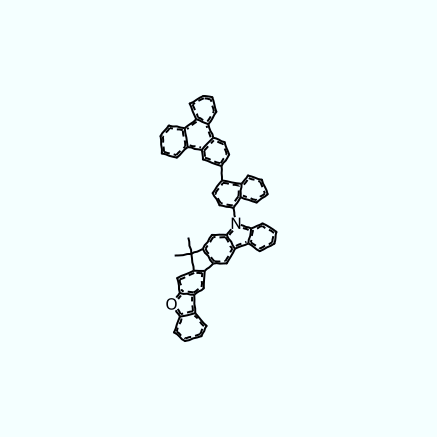 CC1(C)c2cc3oc4ccccc4c3cc2-c2cc3c4ccccc4n(-c4ccc(-c5ccc6c7ccccc7c7ccccc7c6c5)c5ccccc45)c3cc21